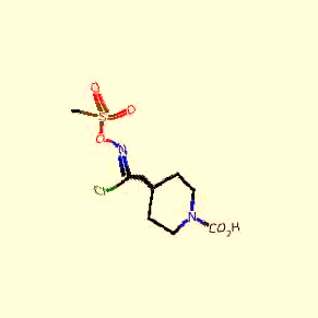 CS(=O)(=O)ON=C(Cl)C1CCN(C(=O)O)CC1